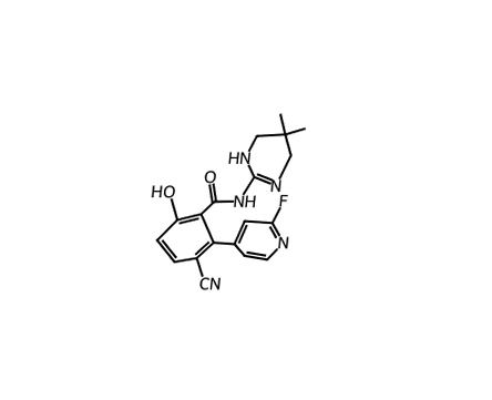 CC1(C)CN=C(NC(=O)c2c(O)ccc(C#N)c2-c2ccnc(F)c2)NC1